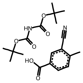 CC(C)(C)OC(=O)NC(=O)OC(C)(C)C.Cc1ccc(C(=O)O)cc1C#N